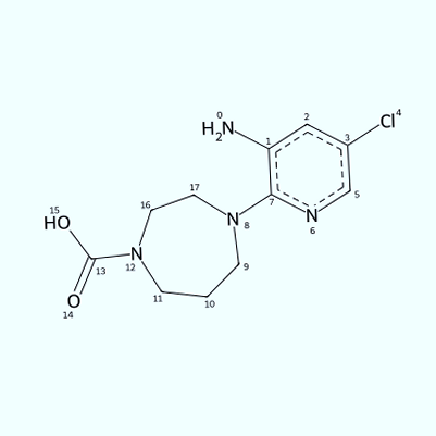 Nc1cc(Cl)cnc1N1CCCN(C(=O)O)CC1